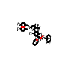 COc1ccc(CN(Cc2ccc(OC)cc2)c2cc(C)c(C(F)(F)F)c(-c3c(Cl)cc4c(N5CC6CCC(C5)N6C(=O)OC(C)(C)C)nc(OCC56CCCN5CC(F)(F)C6)nc4c3F)n2)cc1